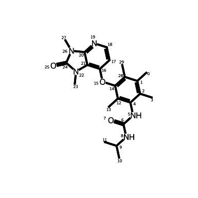 Cc1c(C)c(NC(=O)NC(C)C)c(C)c(Oc2ccnc3c2n(C)c(=O)n3C)c1C